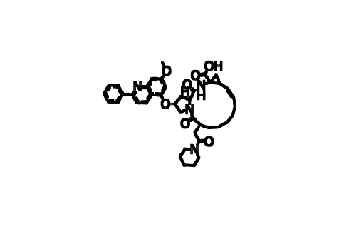 COc1cc(O[C@@H]2C[C@H]3C(=O)NC4(C(=O)O)CC4/C=C\CCCCC[C@@H](CC(=O)N4CCCCC4)C(=O)N3C2)c2ccc(-c3ccccc3)nc2c1